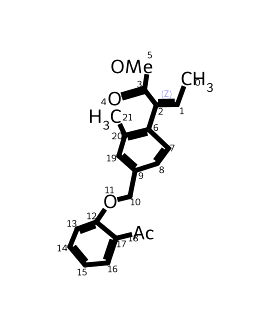 C/C=C(\C(=O)OC)c1ccc(COc2ccccc2C(C)=O)cc1C